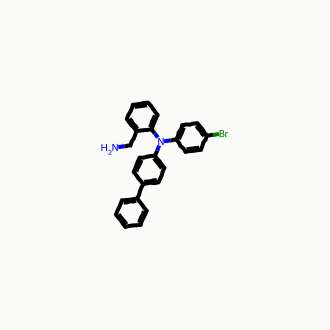 NCc1ccccc1N(c1ccc(Br)cc1)c1ccc(-c2ccccc2)cc1